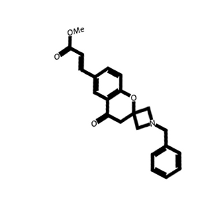 COC(=O)/C=C/c1ccc2c(c1)C(=O)CC1(CN(Cc3ccccc3)C1)O2